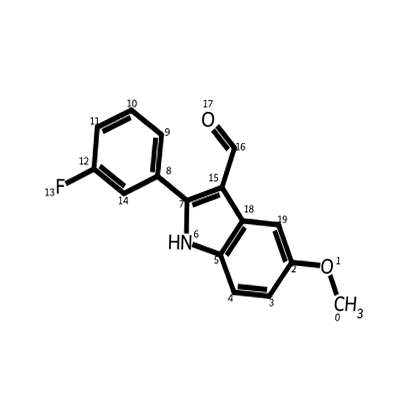 COc1ccc2[nH]c(-c3cccc(F)c3)c(C=O)c2c1